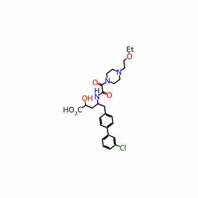 CCOCCN1CCN(C(=O)C(=O)NC(Cc2ccc(-c3cccc(Cl)c3)cc2)CC(O)C(=O)O)CC1